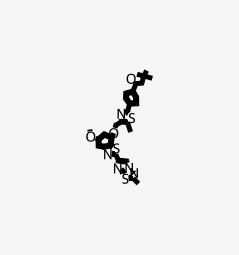 COc1cc(OCc2nc(-c3ccc(C(=O)CC(C)(C)C)cc3)sc2C)c2sc(-c3cn4nc(C)sc4n3)nc2c1